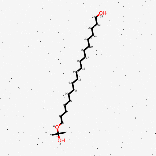 CC(C)(O)OCCCCCCCCCCCCCCCCCCCCO